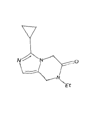 CCN1Cc2cnc(C3CC3)n2CC1=O